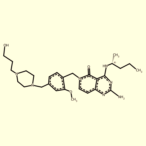 CCC[C@@H](C)Nc1nc(N)nc2ccn(Cc3ccc(CN4CCN(CCCO)CC4)cc3OC)c(=O)c12